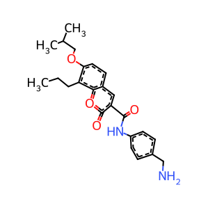 CCCc1c(OCC(C)C)ccc2cc(C(=O)Nc3ccc(CN)cc3)c(=O)oc12